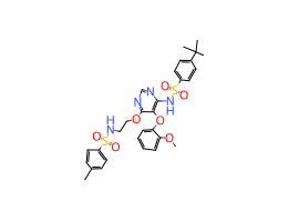 COc1ccccc1Oc1c(NS(=O)(=O)c2ccc(C(C)(C)C)cc2)ncnc1OCCNS(=O)(=O)c1ccc(C)cc1